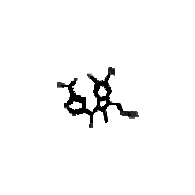 Cc1c(CC(=O)O)c2cc(O)c(F)cc2n1C(=O)c1csc(C(F)F)c1